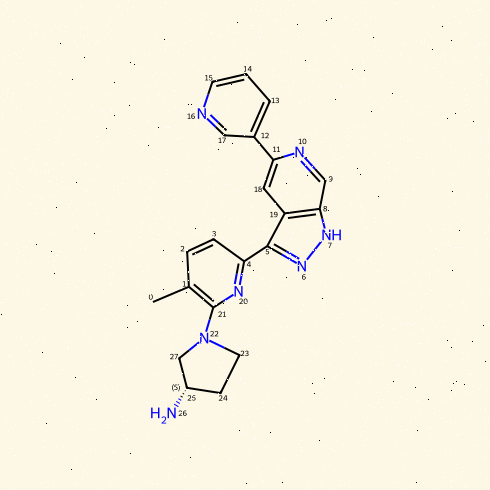 Cc1ccc(-c2n[nH]c3cnc(-c4cccnc4)cc23)nc1N1CC[C@H](N)C1